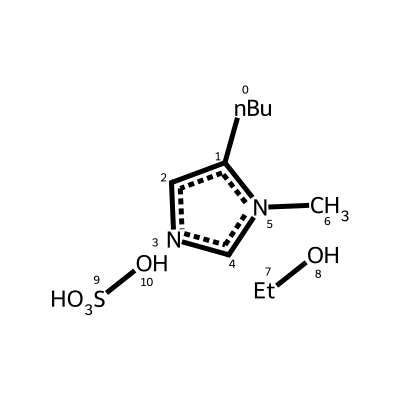 CCCCc1cncn1C.CCO.O=S(=O)(O)O